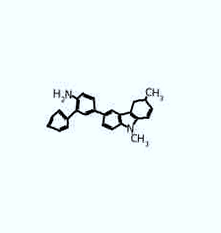 CC1C=Cc2c(c3cc(-c4ccc(N)c(-c5ccccc5)c4)ccc3n2C)C1